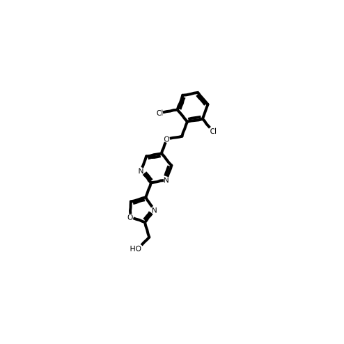 OCc1nc(-c2ncc(OCc3c(Cl)cccc3Cl)cn2)co1